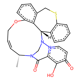 C[C@@H]1/C=C\COc2cccc3c2[C@H](c2ccccc2SC3)N2CN1C(=O)c1c(O)c(=O)ccn12